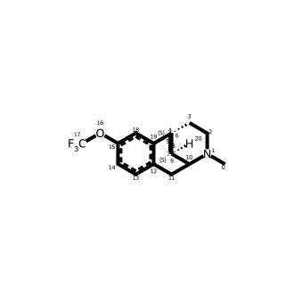 CN1CC[C@@]23CCCC[C@@H]2C1Cc1ccc(OC(F)(F)F)cc13